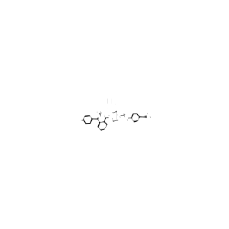 C[C@@H]1CN(C(=O)Nc2ccc(C#N)cc2)CCN1c1nnc(-c2ccc(F)cc2)c2ccccc12